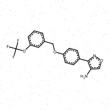 Nc1conc1-c1ccc(OCc2cccc(OC(F)(F)F)c2)cc1